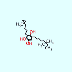 CCC(C)(C)CCCCCc1cc(O)c(O)c(CCCCC2(C)CC2)c1O